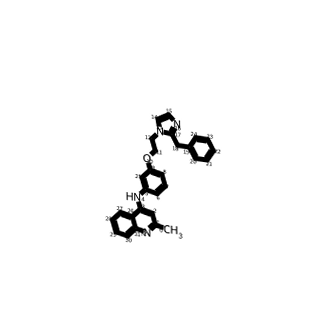 Cc1cc(Nc2cccc(OCCn3ccnc3Cc3ccccc3)c2)c2ccccc2n1